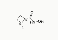 C[C@@H]1CC[C@@H]1C(=O)NO